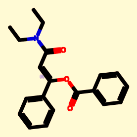 CCN(CC)C(=O)/C=C(\OC(=O)c1ccccc1)c1ccccc1